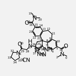 CN(C)C(=O)c1ccc2c(c1)CCc1cc(C(=O)N(C)C)ccc1C2(CC1(NCC(=O)N2CCC[C@H]2C#N)CC1)c1nnn[nH]1